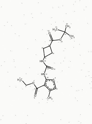 CCOC(=O)c1c(C)csc1NC(=O)NC1CC(C(=O)OC(C)(C)C)C1